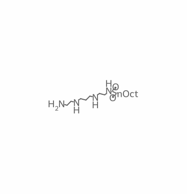 CCCCCCCCS(=O)(=O)NCCNCCCNCCN